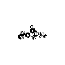 CC(C)(C)OC(=O)ON1Cc2cc(Cl)ccc2-n2c(nnc2[C@H]2CC[C@H](c3nsc4cccnc43)CC2)C1